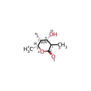 CC1C(=O)O[C@H](C)[C@H](I)[C@@H]1O